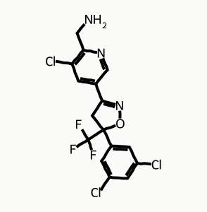 NCc1ncc(C2=NOC(c3cc(Cl)cc(Cl)c3)(C(F)(F)F)C2)cc1Cl